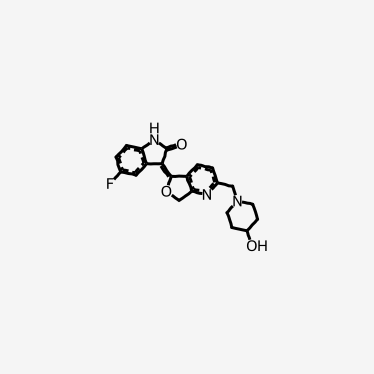 O=C1Nc2ccc(F)cc2C1=C1OCc2nc(CN3CCC(O)CC3)ccc21